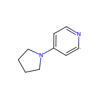 [c]1cc(N2CCCC2)ccn1